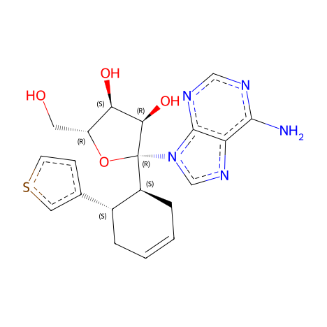 Nc1ncnc2c1ncn2[C@]1([C@H]2CC=CC[C@@H]2c2ccsc2)O[C@H](CO)[C@@H](O)[C@H]1O